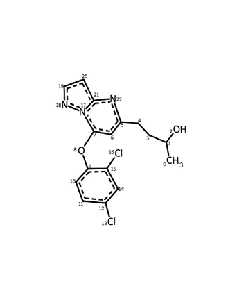 CC(O)CCc1cc(Oc2ccc(Cl)cc2Cl)n2nccc2n1